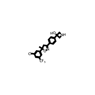 CC1(c2cc(Cl)cc(C(F)(F)F)c2)CC(c2ccc(C3(O)CNC3)cc2)=NO1